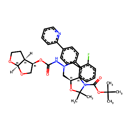 CC(C)(C)OC(=O)N1[C@@H](Cc2ccc(-c3ccccn3)cc2)[C@H](CN(Cc2ccccc2F)NC(=O)O[C@H]2CO[C@H]3OCC[C@H]32)OC1(C)C